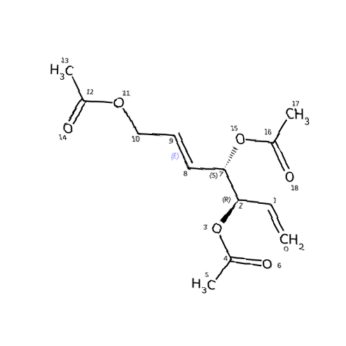 C=C[C@@H](OC(C)=O)[C@H](/C=C/COC(C)=O)OC(C)=O